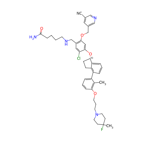 Cc1c(OCCCN2CCC(C)(F)CC2)cccc1-c1cccc2c1CC[C@@H]2Oc1cc(OCc2cncc(C#N)c2)c(CNCCCCC(N)=O)cc1Cl